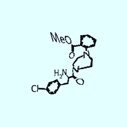 COC(=O)c1ccccc1N1CCN(C(=O)[C@H](N)Cc2ccc(Cl)cc2)CC1